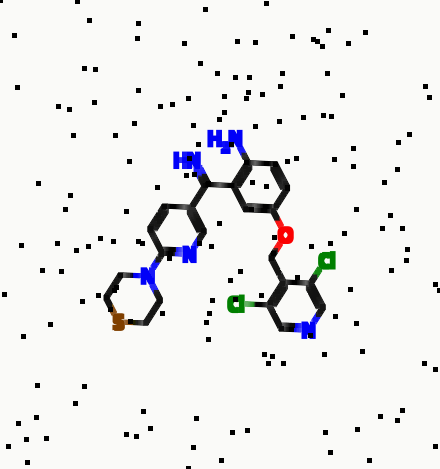 N=C(c1ccc(N2CCSCC2)nc1)c1cc(OCc2c(Cl)cncc2Cl)ccc1N